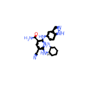 N#Cc1cc(C(N)=O)c(Nc2ccc3[nH]ncc3c2)nc1N[C@@H]1CCCC[C@@H]1N